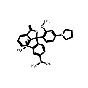 COc1cc(N2CCCC2)ccc1C1(c2ccc(N(C)C)cc2N(C)C)OC(=O)c2ccccc21